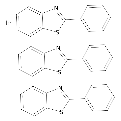 [Ir].c1ccc(-c2nc3ccccc3s2)cc1.c1ccc(-c2nc3ccccc3s2)cc1.c1ccc(-c2nc3ccccc3s2)cc1